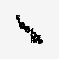 CC(c1ccc2[nH]c(=O)sc2c1)c1ccn(-c2ccc(CCF)cn2)n1